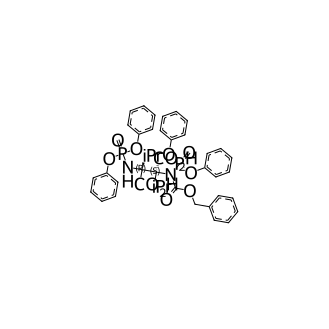 CC(C)[C@](NP(=O)(Oc1ccccc1)Oc1ccccc1)(C(=O)O)[C@](C(=O)O)(C(C)C)N(C(=O)OCc1ccccc1)P(=O)(Oc1ccccc1)Oc1ccccc1